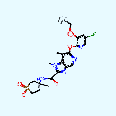 Cc1c(Oc2ncc(F)cc2OCC(F)(F)F)ncc2nc(C(=O)NC3(C)CCS(=O)(=O)CC3)n(C)c12